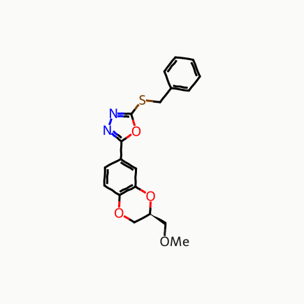 COC[C@H]1COc2ccc(-c3nnc(SCc4ccccc4)o3)cc2O1